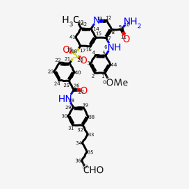 COc1cccc(Nc2c(C(N)=O)cnc3c2=CC(S(=O)(=O)c2cccc(C(=O)Nc4ccc(CCCCC=O)cc4)c2)CC=3C)c1